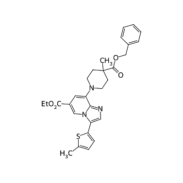 CCOC(=O)c1cc(N2CCC(C)(C(=O)OCc3ccccc3)CC2)c2ncc(-c3ccc(C)s3)n2c1